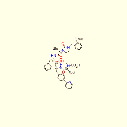 COc1ccccc1CN1CCN([C@H](C(=O)N[C@@H](Cc2ccccc2)[C@@H](O)C[C@H](Cc2ccc(-c3ccccn3)cc2)NC(=O)[C@@H](N(C)C(=O)O)C(C)(C)C)C(C)(C)C)C1=O